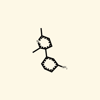 Cc1ccc(-c2cccc(N)c2)c(C)n1